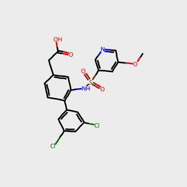 COc1cncc(S(=O)(=O)Nc2cc(CC(=O)O)ccc2-c2cc(Cl)cc(Cl)c2)c1